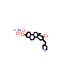 CC12CCC3C4=CC=C(OS(N)(=O)=O)CC4CCC3C1CC(=Cc1ccncc1)C2=O